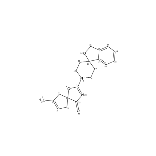 CC1=CCC2(C1)OC(N1CCC3(CC1)OCc1ccccc13)=NC2=O